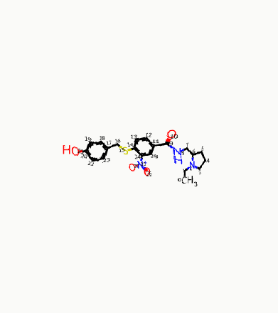 CCN1CCCC1CNC(=O)c1ccc(SCc2ccc(O)cc2)c([N+](=O)[O-])c1